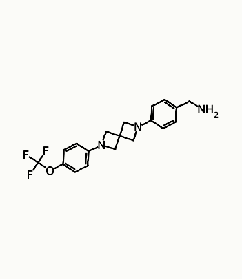 NCc1ccc(N2CC3(C2)CN(c2ccc(OC(F)(F)F)cc2)C3)cc1